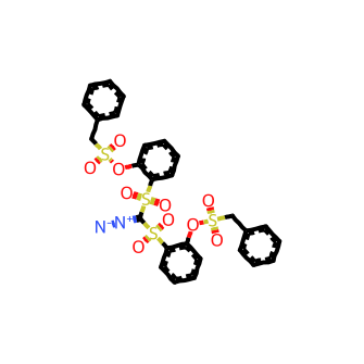 [N-]=[N+]=C(S(=O)(=O)c1ccccc1OS(=O)(=O)Cc1ccccc1)S(=O)(=O)c1ccccc1OS(=O)(=O)Cc1ccccc1